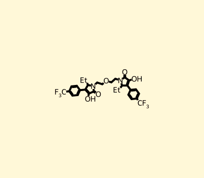 CCC1C(c2ccc(C(F)(F)F)cc2)=C(O)C(=O)N1CCOCCN1C(=O)C(O)=C(c2ccc(C(F)(F)F)cc2)C1CC